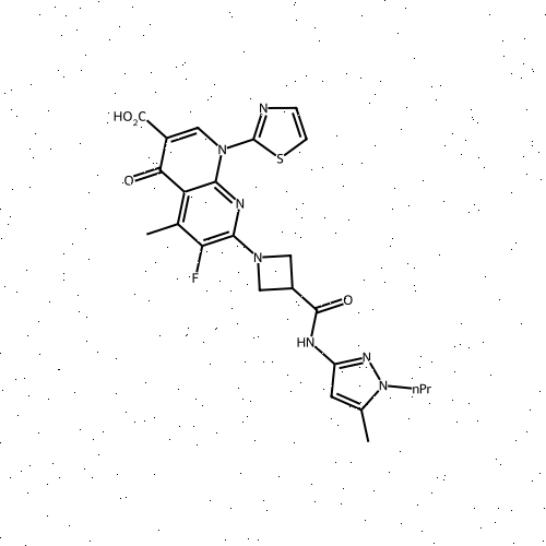 CCCn1nc(NC(=O)C2CN(c3nc4c(c(C)c3F)c(=O)c(C(=O)O)cn4-c3nccs3)C2)cc1C